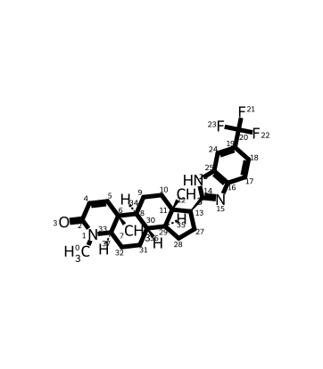 CN1C(=O)C=C[C@]2(C)[C@H]3CC[C@]4(C)[C@@H](c5nc6ccc(C(F)(F)F)cc6[nH]5)CC[C@H]4[C@@H]3CC[C@@H]12